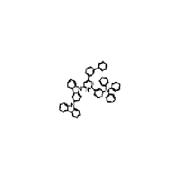 c1ccc(-c2cccc(-c3cc(-n4c5ccccc5c5cc(-n6c7ccccc7c7ccccc76)ccc54)nc(-c4cccc([Si](c5ccccc5)(c5ccccc5)c5ccccc5)c4)n3)c2)cc1